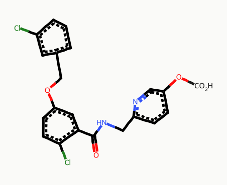 O=C(O)Oc1ccc(CNC(=O)c2cc(OCc3cccc(Cl)c3)ccc2Cl)nc1